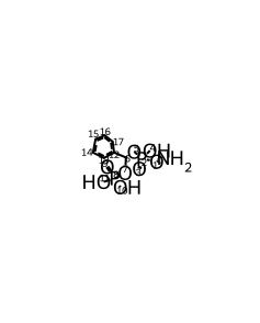 NOP(=O)(O)OC(OP(=O)(O)O)c1ccccc1